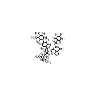 [2H]C1=C(C2=C([2H])C([2H])=C(C(F)(F)F)C(C)C2[2H])C([2H])C([2H])C(C([2H])([2H])N(C(=O)Cn2c(SC([2H])([2H])c3c([2H])c([2H])c(F)c([2H])c3[2H])nc(=O)c3c2CCC3)C([2H])([2H])C([2H])([2H])N(C([2H])([2H])C)C([2H])([2H])C)=C1[2H]